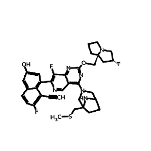 C#Cc1c(F)ccc2cc(O)cc(-c3ncc4c(N5CC6CCC(CSC)(C5)N6)nc(OC[C@@]56CCCN5C[C@H](F)C6)nc4c3F)c12